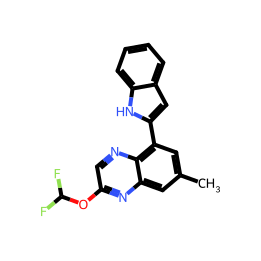 Cc1cc(-c2cc3ccccc3[nH]2)c2ncc(OC(F)F)nc2c1